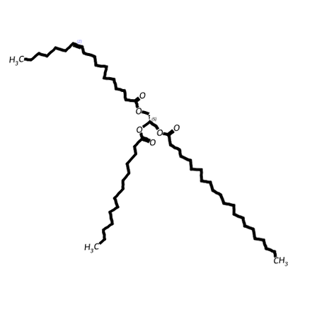 CCCCCC/C=C\CCCCCCCCCC(=O)OC[C@H](COC(=O)CCCCCCCCCCCCCCCCCCCCC)OC(=O)CCCCCCCCCCCCC